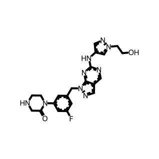 O=C1CNCCN1c1cc(F)cc(Cn2ncc3cnc(Nc4cnn(CCO)c4)nc32)c1